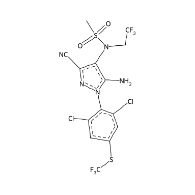 CS(=O)(=O)N(CC(F)(F)F)c1c(C#N)nn(-c2c(Cl)cc(SC(F)(F)F)cc2Cl)c1N